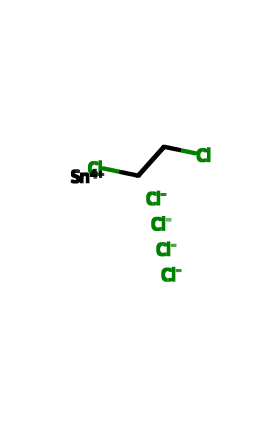 ClCCCl.[Cl-].[Cl-].[Cl-].[Cl-].[Sn+4]